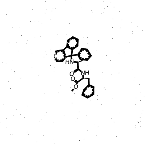 COC(=O)[C@H](Cc1ccccc1)NC(=O)[C@H](C)NC1(c2ccccc2)c2ccccc2-c2ccccc21